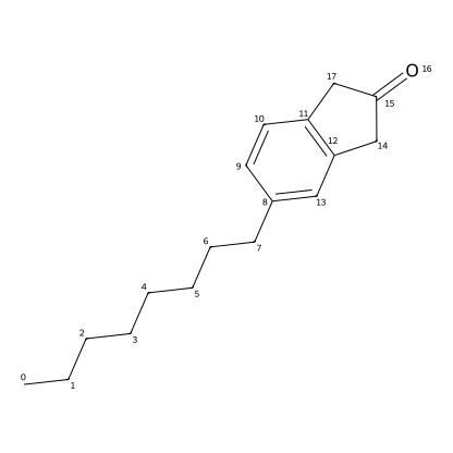 CCCCCCCCc1ccc2c(c1)CC(=O)C2